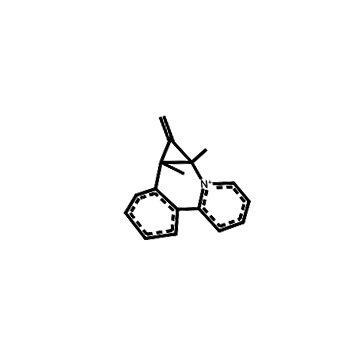 C=C1C2(C)c3ccccc3-c3cccc[n+]3C12C